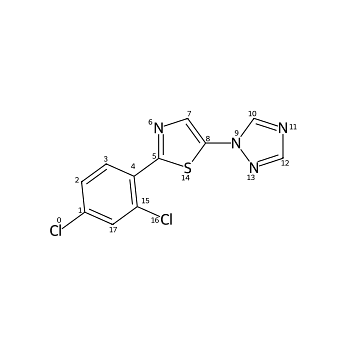 Clc1ccc(-c2ncc(-n3cncn3)s2)c(Cl)c1